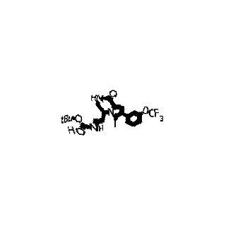 CC(C)(C)OC(O)NCCC1CNC(=O)c2cc(-c3cccc(OC(F)(F)F)c3)c(I)n21